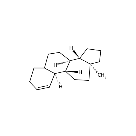 C[C@@]12CCC[C@H]1[C@@H]1CCC3CCC=C[C@@H]3[C@H]1CC2